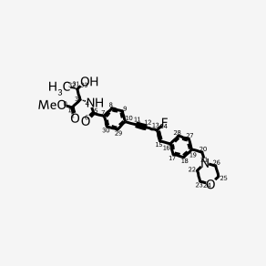 COC(=O)[C@@H](NC(=O)c1ccc(C#CC(F)=Cc2ccc(CN3CCOCC3)cc2)cc1)[C@@H](C)O